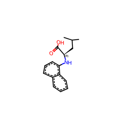 CC(C)C[C@@H](Nc1cccc2ccccc12)C(=O)O